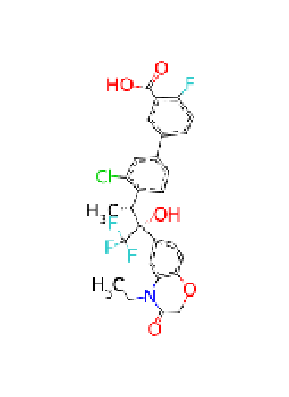 CCN1C(=O)COc2ccc([C@](O)([C@H](C)c3ccc(-c4ccc(F)c(C(=O)O)c4)cc3Cl)C(F)(F)F)cc21